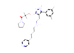 Cc1cc(C)cc(-c2c(CCNCCCCc3ccncc3)c(OCC(C)(C)C(=O)N3CCCC3)nn2C)c1